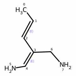 C/C=C/C(=C\N)CN